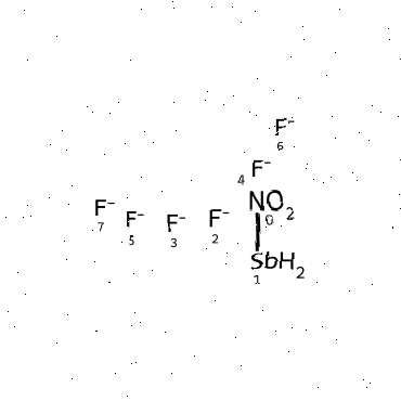 O=[N+]([O-])[SbH2].[F-].[F-].[F-].[F-].[F-].[F-]